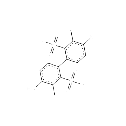 Cc1c(N)ccc(-c2ccc(N)c(C)c2S(=O)(=O)O)c1S(=O)(=O)O